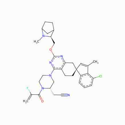 C=C(F)C(=O)N1CCN(c2nc(OC[C@@H]3C4CCC(C4)N3C)nc3c2CC[C@]2(C=C(C)c4c(Cl)cccc42)C3)C[C@@H]1CC#N